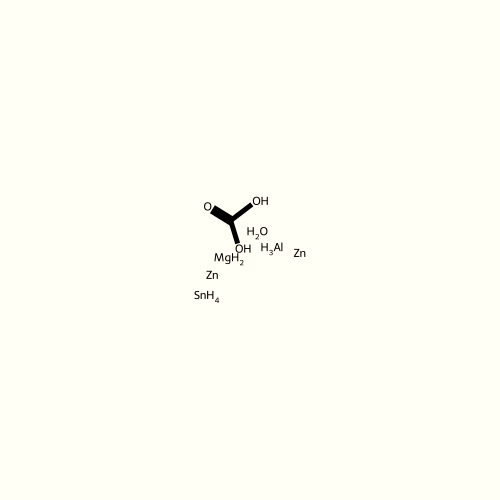 O.O=C(O)O.[AlH3].[MgH2].[SnH4].[Zn].[Zn]